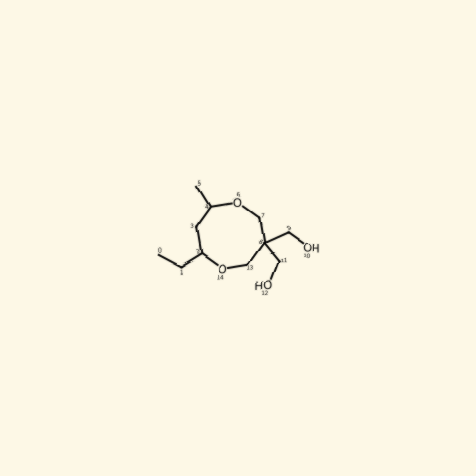 CCC1CC(C)OCC(CO)(CO)CO1